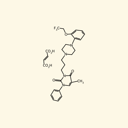 Cc1cn(-c2ccccc2)c(=O)n(CCCN2CCN(c3ccccc3OCC(F)(F)F)CC2)c1=O.O=C(O)/C=C/C(=O)O